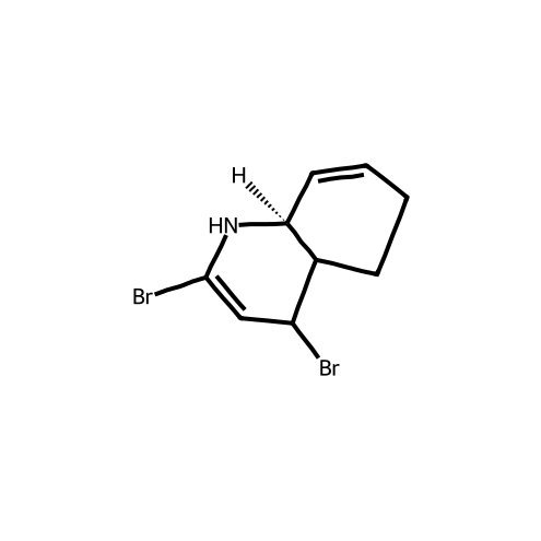 BrC1=CC(Br)C2CCC=C[C@@H]2N1